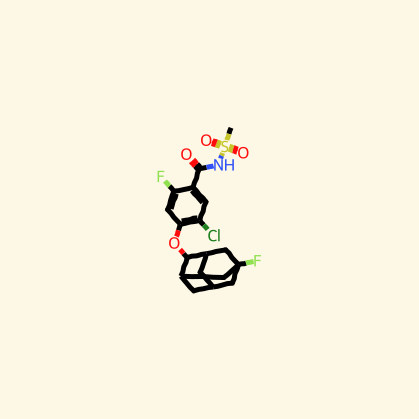 CS(=O)(=O)NC(=O)c1cc(Cl)c(OC2C3CC4CC2CC(F)(C4)C3)cc1F